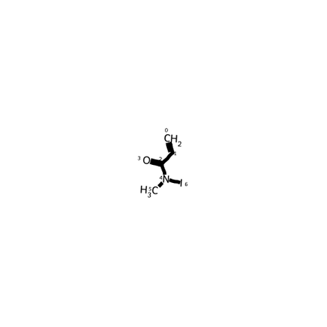 C=CC(=O)N(C)I